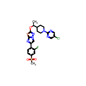 C[C@H](Oc1nn2cc(-c3ccc(S(C)(=O)=O)cc3F)nc2s1)C1CCN(c2ncc(Cl)cn2)CC1